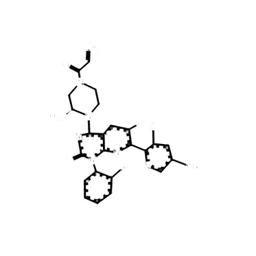 C=CC(=O)N1CCN(c2nc(=O)n(-c3ccccc3C(C)C)c3nc(-c4ncc(C)cc4F)c(Cl)cc23)[C@@H](C)C1